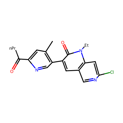 CCCC(=O)c1cc(C)c(-c2cc3cnc(Cl)cc3n(CC)c2=O)cn1